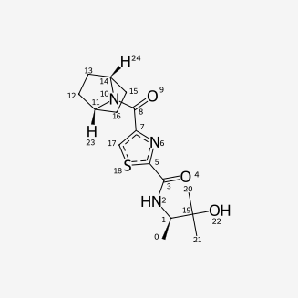 C[C@@H](NC(=O)c1nc(C(=O)N2[C@H]3CC[C@@H]2CC3)cs1)C(C)(C)O